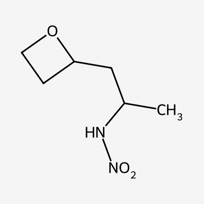 CC(CC1CCO1)N[N+](=O)[O-]